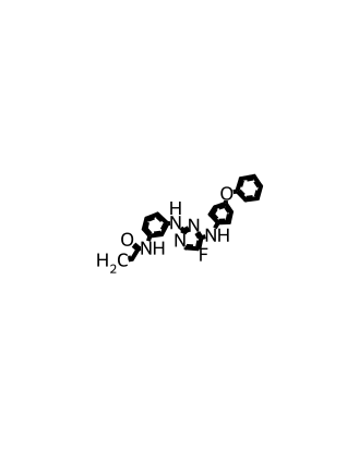 C=CC(=O)Nc1cccc(Nc2ncc(F)c(Nc3ccc(Oc4ccccc4)cc3)n2)c1